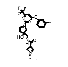 CN1CC(C(=O)NCC2(O)CCN(c3nc(Oc4cccc(F)c4)cc(C(F)(F)F)n3)C2)C1